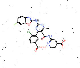 CC1=C(C(=O)Nc2cc(C(=O)O)ccn2)C(c2cc(C(=O)O)ccc2Cl)N=C(Nc2nc3ccc(F)cc3o2)N1